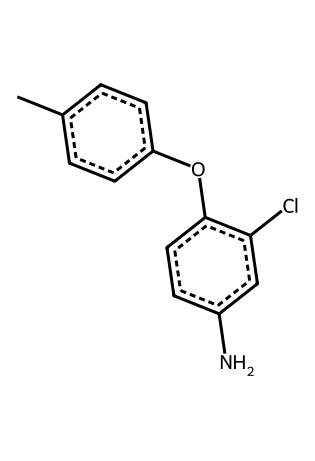 Cc1ccc(Oc2ccc(N)cc2Cl)cc1